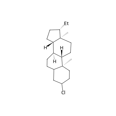 CC[C@H]1CC[C@H]2[C@@H]3CCC4CC(Cl)CC[C@]4(C)[C@H]3CC[C@]12C